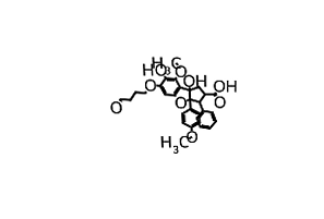 COc1ccc(C23Oc4cc(OCCCC=O)c(O)c(OC)c4C2(O)CC(C(=O)O)C3c2ccccc2)cc1